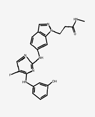 CNC(=O)CCn1ncc2ccc(Nc3ncc(F)c(Nc4cccc(O)c4)n3)cc21